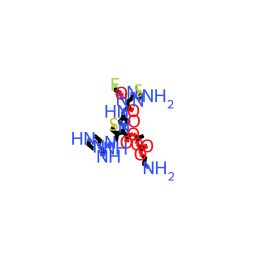 CC(OC(=O)OCCN)OC(=O)C1=C(C=NNC(=N)N2CCNCC2)CSC2C(NC(=O)C(=NOCF)c3nsc(N)n3)C(=O)N12